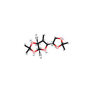 CC1C([C@H]2COC(C)(C)O2)O[C@@H]2OC(C)(C)O[C@H]12